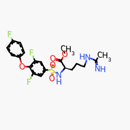 COC(=O)[C@@H](CCCNC(C)=N)NS(=O)(=O)c1cc(F)c(Oc2ccc(F)cc2)c(F)c1